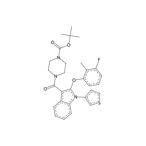 Cc1c(F)cccc1Oc1c(C(=O)N2CCN(C(=O)OC(C)(C)C)CC2)c2ccccc2n1-c1ccsc1